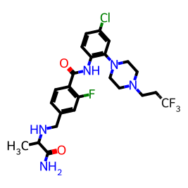 CC(NCc1ccc(C(=O)Nc2ccc(Cl)cc2N2CCN(CCC(F)(F)F)CC2)c(F)c1)C(N)=O